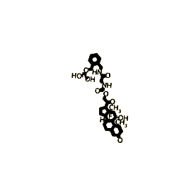 C[C@]12C[C@H](O)C3(F)[C@@H](CCC4=CC(=O)C=C[C@@]43C)C1CCC2C(=O)COC(=O)NCC(=O)NCc1ccccc1CON(O)O